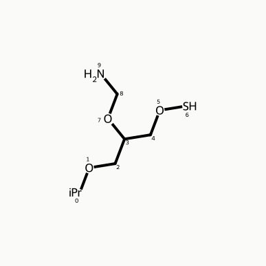 CC(C)OCC(COS)OCN